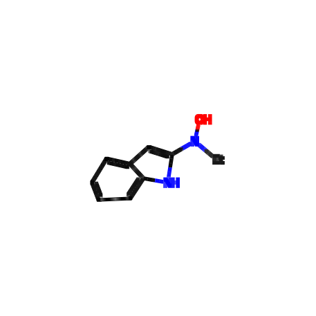 CCN(O)c1cc2ccccc2[nH]1